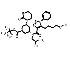 COCCCCc1c(C(=O)N(CC(C)C)[C@H]2C[C@@H](N3CCCNC3=O)CN(C(=O)OC(C)(C)C)C2)nnn1C1=CC=CCC1